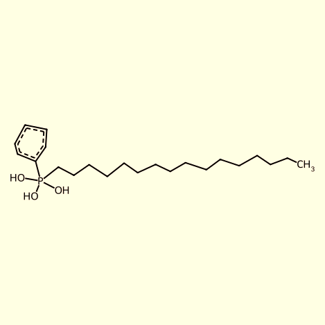 CCCCCCCCCCCCCCCCP(O)(O)(O)c1ccccc1